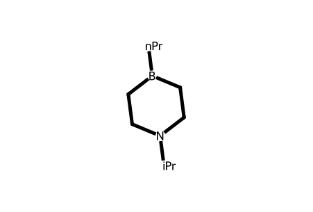 CCCB1CCN(C(C)C)CC1